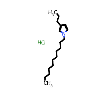 CCCCCCCCCCCn1ccc(CCC)c1.Cl